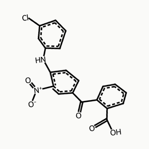 O=C(O)c1ccccc1C(=O)c1ccc(Nc2cccc(Cl)c2)c([N+](=O)[O-])c1